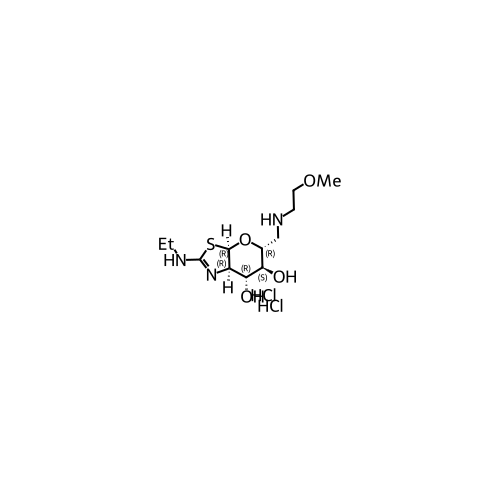 CCNC1=N[C@@H]2[C@@H](O)[C@H](O)[C@@H](CNCCOC)O[C@@H]2S1.Cl.Cl